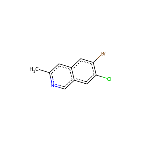 Cc1cc2cc(Br)c(Cl)cc2cn1